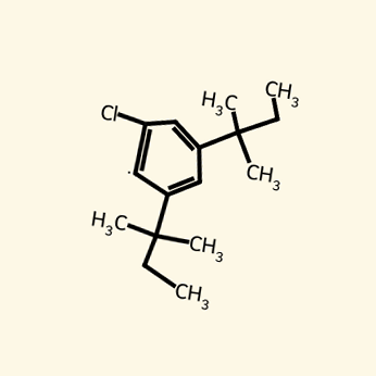 CCC(C)(C)c1[c]c(Cl)cc(C(C)(C)CC)c1